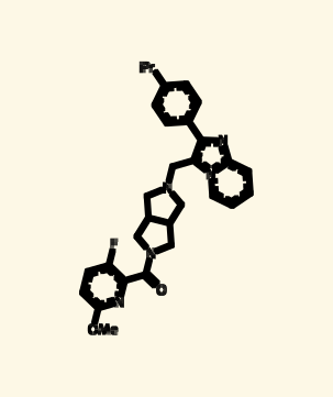 COc1ccc(F)c(C(=O)N2CC3CN(Cc4c(-c5ccc(C(C)C)cc5)nc5ccccn45)CC3C2)n1